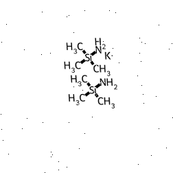 C[Si](C)(C)N.C[Si](C)(C)N.[K]